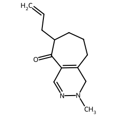 C=CCC1CCCC2=C(C=NN(C)C2)C1=O